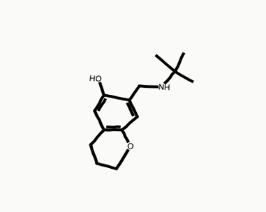 CC(C)(C)NCc1cc2c(cc1O)CCCO2